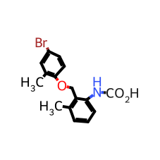 Cc1cc(Br)ccc1OCc1c(C)cccc1NC(=O)O